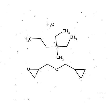 C(OCC1CO1)C1CO1.CCC[Si](C)(CC)CC.O